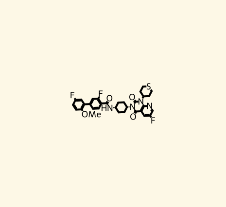 COc1ccc(F)cc1-c1ccc(C(=O)N[C@H]2CC[C@@H](n3c(=O)c4cc(F)cnc4n(C4CCSCC4)c3=O)CC2)c(F)c1